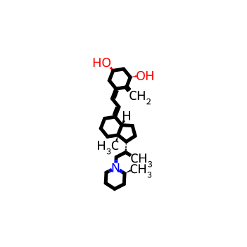 C=C1/C(=C\C=C2/CCC[C@]3(C)[C@@H](C(C)CN4CCCC[C@H]4C)CC[C@@H]23)C[C@@H](O)C[C@@H]1O